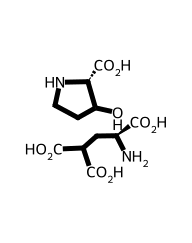 N[C@@H](CC(C(=O)O)C(=O)O)C(=O)O.O=C(O)[C@H]1NCCC1O